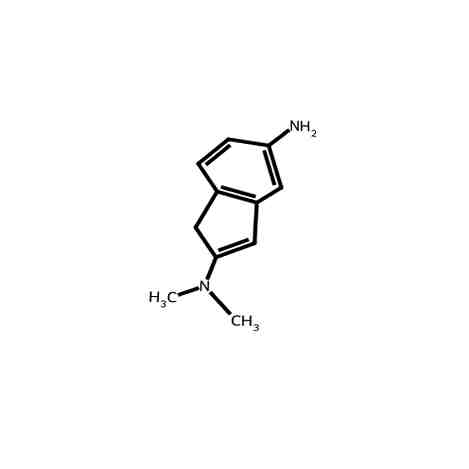 CN(C)C1=Cc2cc(N)ccc2C1